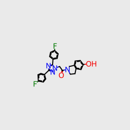 O=C(Cn1nc(-c2ccc(F)cc2)nc1-c1ccc(F)cc1)N1CCc2cc(O)ccc2C1